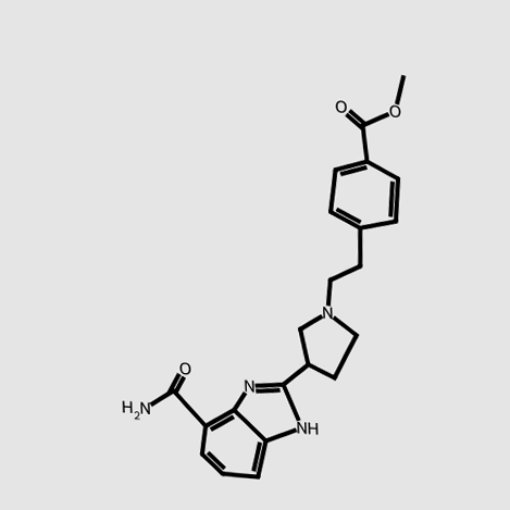 COC(=O)c1ccc(CCN2CCC(c3nc4c(C(N)=O)cccc4[nH]3)C2)cc1